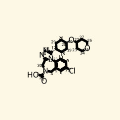 O=C(O)N1Cc2cc(Cl)ccc2-n2c(nnc2[C@H]2CC[C@H](OC3CCOCC3)CC2)C1